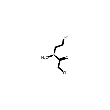 CC(C)CCN(C)C(=O)CCl